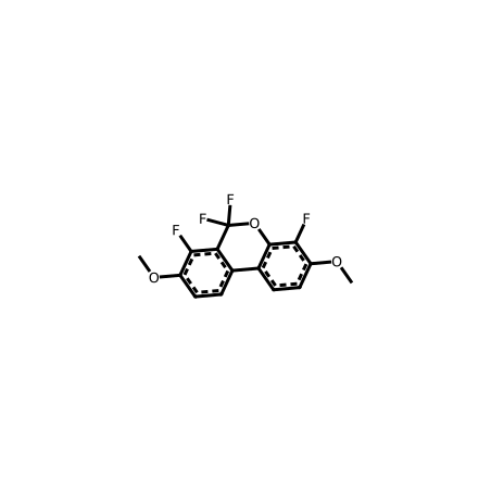 COc1ccc2c(c1F)OC(F)(F)c1c-2ccc(OC)c1F